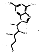 COc1nc(N)nc2c1ncn2[C@H](O)[C@@H](O)[C@H](O)CCO